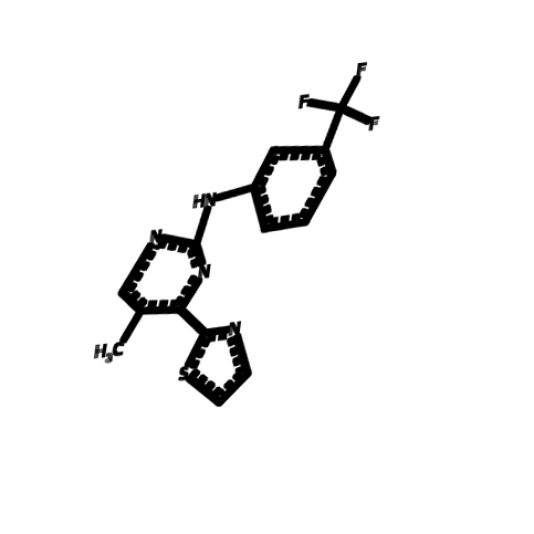 Cc1cnc(Nc2cccc(C(F)(F)F)c2)nc1-c1nccs1